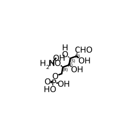 NO.O=C[C@H](O)[C@@H](O)[C@H](O)[C@H](O)COP(=O)(O)O